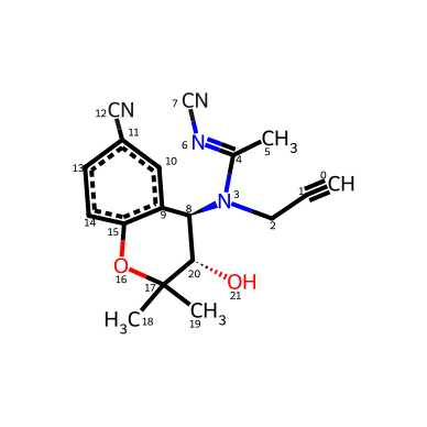 C#CCN(C(C)=NC#N)[C@@H]1c2cc(C#N)ccc2OC(C)(C)[C@H]1O